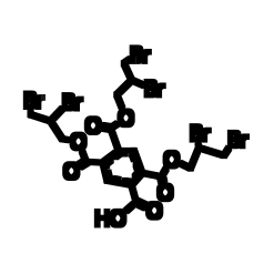 O=C(O)c1cc(C(=O)OCC(Br)CBr)c(C(=O)OCC(Br)CBr)cc1C(=O)OCC(Br)CBr